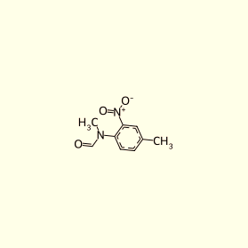 Cc1ccc(N(C)C=O)c([N+](=O)[O-])c1